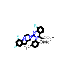 COc1ccc(C(F)(F)F)cc1N1C(N2CCN3c4c(F)cc(F)cc4CC3C2)=Nc2c(F)cccc2C1CC(=O)O